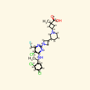 CC(Nc1nc(N2CC(C3CCCN(C4CC(C)(C(=O)O)C4)C3)C2)nc(CF)c1Cl)c1ccc(Cl)cc1Cl